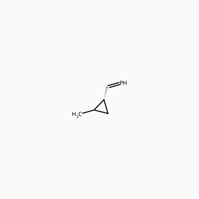 CC1C[C@H]1C=P